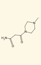 [CH2]N1CCN(C(=O)CC(N)=O)CC1